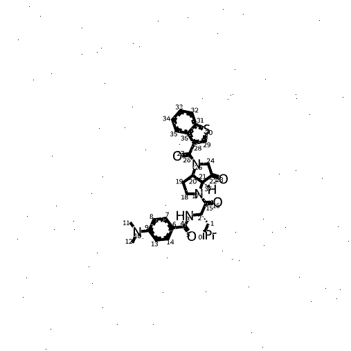 CC(C)C[C@H](NC(=O)c1ccc(N(C)C)cc1)C(=O)N1CCC2[C@H]1C(=O)CN2C(=O)c1csc2ccccc12